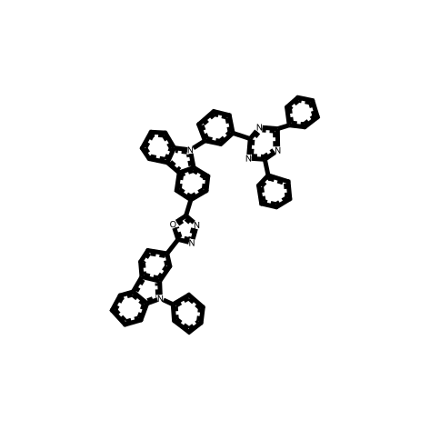 c1ccc(-c2nc(-c3ccccc3)nc(-c3cccc(-n4c5ccccc5c5cc(-c6nnc(-c7ccc8c9ccccc9n(-c9ccccc9)c8c7)o6)ccc54)c3)n2)cc1